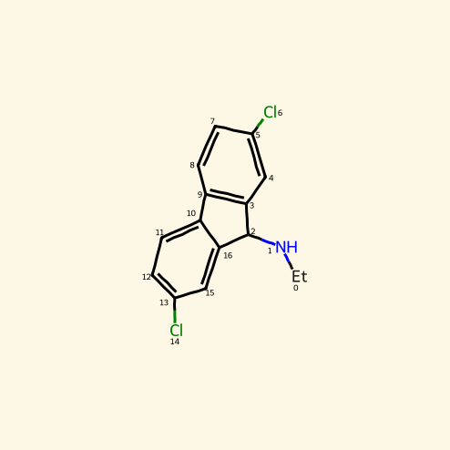 CCNC1c2cc(Cl)ccc2-c2ccc(Cl)cc21